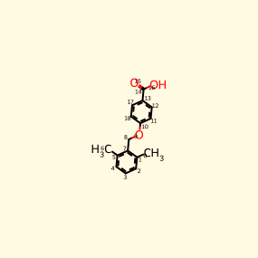 Cc1cccc(C)c1COc1ccc(C(=O)O)cc1